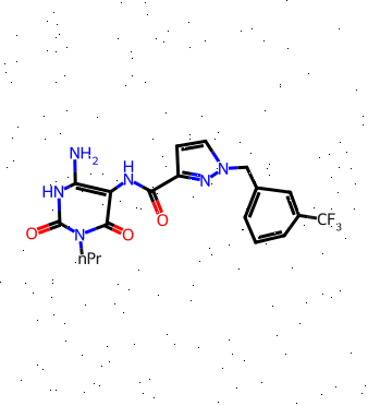 CCCn1c(=O)[nH]c(N)c(NC(=O)c2ccn(Cc3cccc(C(F)(F)F)c3)n2)c1=O